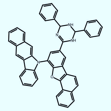 c1ccc(C2N=C(c3cc(-n4c5ccccc5c5cc6ccccc6cc54)c4oc5c6ccccc6ccc5c4c3)NC(c3ccccc3)N2)cc1